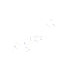 C#CCN(CCCc1cc(Cl)ccc1Oc1cc(F)c(S(=O)(=O)N(Cc2ccc(OC)cc2OC)c2nccs2)cc1Cl)CC(=O)O